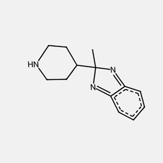 CC1(C2CCNCC2)N=c2ccccc2=N1